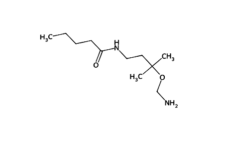 CCCCC(=O)NCCC(C)(C)OCN